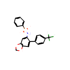 O=S(=O)(Nc1cc2c(cc1-c1ccc(C(F)(F)F)cc1)OCO2)c1ccccc1